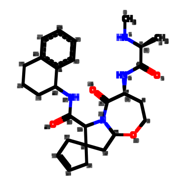 CN[C@@H](C)C(=O)N[C@H]1CCOC2CC3(CC=CC3)C(C(=O)NC3CCCc4ccccc43)N2C1=O